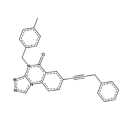 Cc1ccc(Cn2c(=O)c3cc(C#CCc4ccccc4)ccc3n3cnnc23)cc1